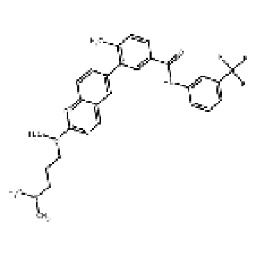 Cc1ccc(C(=O)Nc2cccc(C(F)(F)F)c2)cc1-c1ccc2nc(N(C)CCCN(C)C)ncc2c1